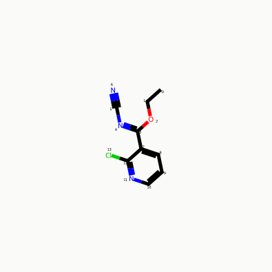 CCO/C(=N\C#N)c1cccnc1Cl